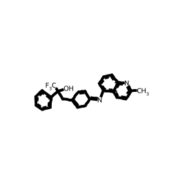 Cc1ccc2c(N=C3C=CC(CC(O)(c4ccccc4)C(F)(F)F)=CC3)cccc2n1